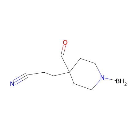 BN1CCC(C=O)(CCC#N)CC1